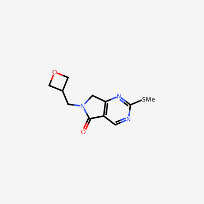 CSc1ncc2c(n1)CN(CC1COC1)C2=O